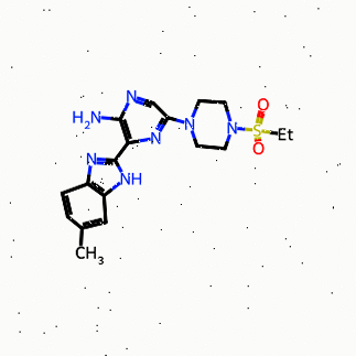 CCS(=O)(=O)N1CCN(c2cnc(N)c(-c3nc4ccc(C)cc4[nH]3)n2)CC1